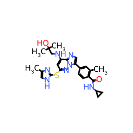 Cc1c[nH]c(Sc2cc(NCC(C)(C)O)c3ncc(-c4ccc(C(=O)NC5CC5)c(C)c4)n3n2)n1